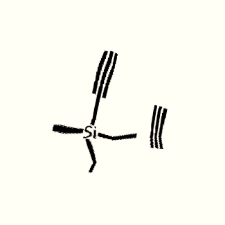 C#C.C#C[Si](C)(C)C